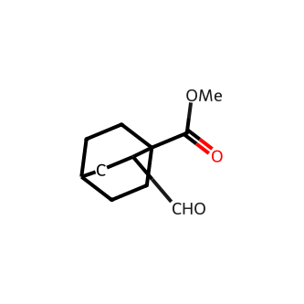 COC(=O)C12CCC(CC1)CC2C=O